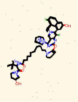 C#Cc1c(F)ccc2cc(O)cc(-c3ncc4c(N5CC6CCC(C5)N6)nc(OC5CCCN5CCCCCCCCCCC(=O)NC(C(=O)N5CC[C@@H](O)C5)C(C)(C)C)nc4c3F)c12